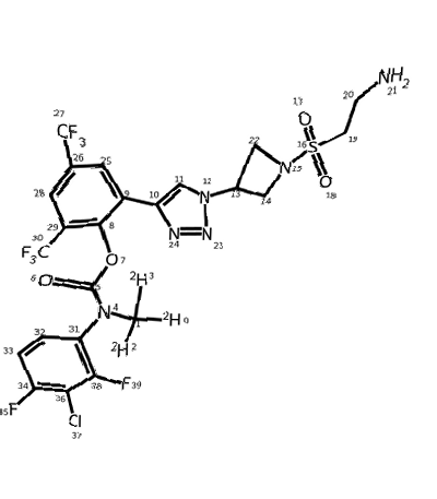 [2H]C([2H])([2H])N(C(=O)Oc1c(-c2cn(C3CN(S(=O)(=O)CCN)C3)nn2)cc(C(F)(F)F)cc1C(F)(F)F)c1ccc(F)c(Cl)c1F